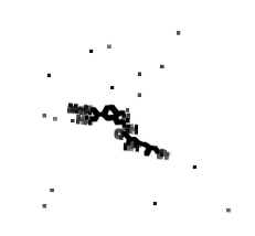 C=C(CCCC(CCC)C(=O)Nc1cc2cc(/C(C=N)=C/NC)ccc2cn1)CC(C)C